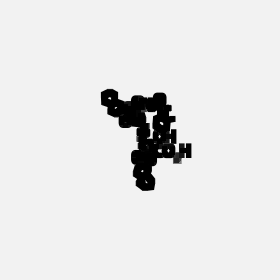 Cc1cc(O)ccc1N(C)C(=O)CN(C)C(=O)[C@@H]1C[C@@H](SS[C@@H]2C[C@@H](C(=O)O)N(S(=O)(=O)c3ccc4ccccc4c3)C2)CN1S(=O)(=O)c1ccc2ccccc2c1